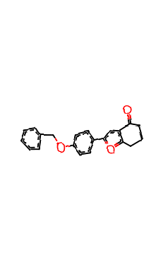 O=C1CCCc2oc(-c3ccc(OCc4ccccc4)cc3)cc21